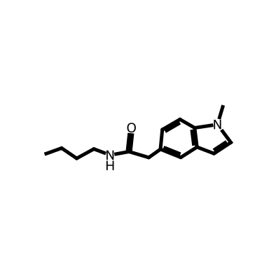 CCCCNC(=O)Cc1ccc2c(ccn2C)c1